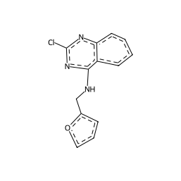 Clc1nc(NCc2ccco2)c2ccccc2n1